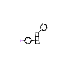 Ic1ccc(C23C4C5C2C2C3C4C52c2ccccc2)cc1